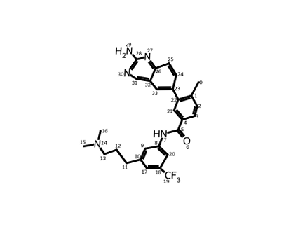 Cc1ccc(C(=O)Nc2cc(CCCN(C)C)cc(C(F)(F)F)c2)cc1-c1ccc2nc(N)ncc2c1